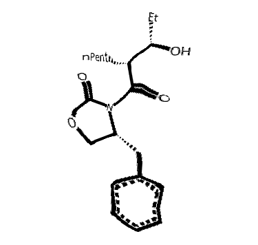 CCCCC[C@@H](C(=O)N1C(=O)OC[C@H]1Cc1ccccc1)[C@@H](O)CC